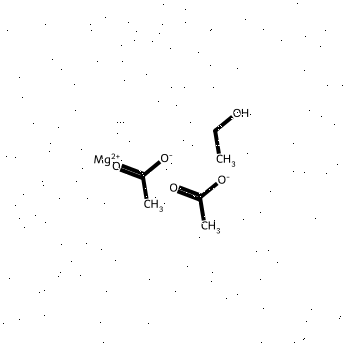 CC(=O)[O-].CC(=O)[O-].CCO.[Mg+2]